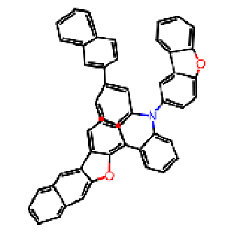 c1cc(-c2ccc3ccccc3c2)cc(N(c2ccc3oc4ccccc4c3c2)c2ccccc2-c2cccc3c2oc2cc4ccccc4cc23)c1